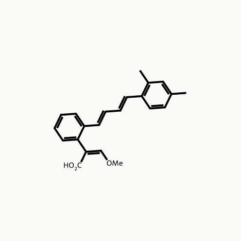 COC=C(C(=O)O)c1ccccc1C=CC=Cc1ccc(C)cc1C